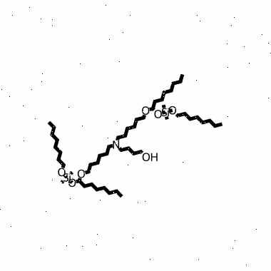 CCCCCCCCO[Si](C)(C)OC(CCCCCCC)OCCCCCCN(CCCCO)CCCCCCOC(CCCCCCC)O[Si](C)(C)OCCCCCCCC